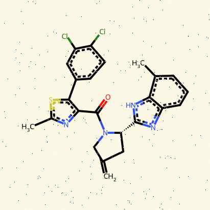 C=C1C[C@@H](c2nc3cccc(C)c3[nH]2)N(C(=O)c2nc(C)sc2-c2ccc(Cl)c(Cl)c2)C1